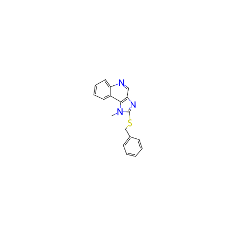 Cn1c(SCc2ccccc2)nc2cnc3ccccc3c21